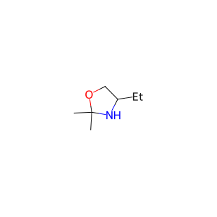 CCC1COC(C)(C)N1